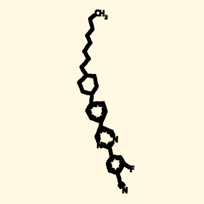 CCCCCCCCC1CCC(c2ccc(-c3cnc(-c4ccc(C#N)c(F)c4)nc3)cc2)CC1